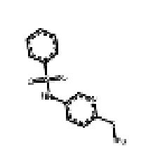 CC(C)(C)Sc1ccc(NS(=O)(=O)c2ccccc2)cn1